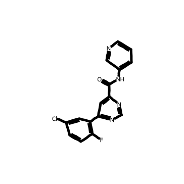 O=C(Nc1cccnc1)c1cc(-c2cc(Cl)ccc2F)ncn1